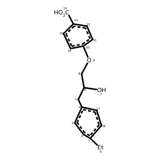 CCc1ccc(CC(O)COc2ccc(C(=O)O)cc2)cc1